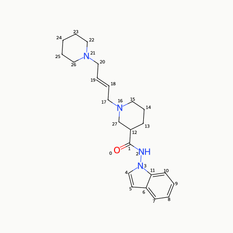 O=C(Nn1ccc2ccccc21)C1CCCN(CC=CCN2CCCCC2)C1